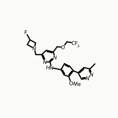 COc1cc(Nc2nc(COCC(F)(F)F)cc(CN3CC(F)C3)n2)ccc1-c1cnnc(C)c1